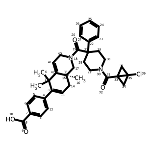 CC1(C)C(c2ccc(C(=O)O)cc2)=CC[C@]2(C)CN(C(=O)C3(c4ccccc4)CCN(C(=O)C45CC4(Cl)C5)CC3)CC=C12